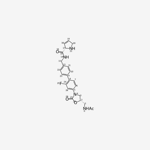 CC(=O)NC[C@H]1CN(c2ccc(-c3ccc(CNC(=O)[C@@H]4C=CCN4)cc3)c(F)c2)C(=O)O1